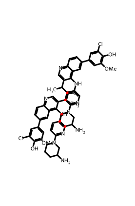 COc1cc(-c2ccc3ncc(C(C)C(=O)C(C)c4cnc5ccc(-c6cc(Cl)c(O)c(OC)c6)cc5c4Nc4ccc(N5CCCC(N)C5)nc4)c(Nc4ccc(N5CCCC(N)C5)nc4)c3c2)cc(Cl)c1O